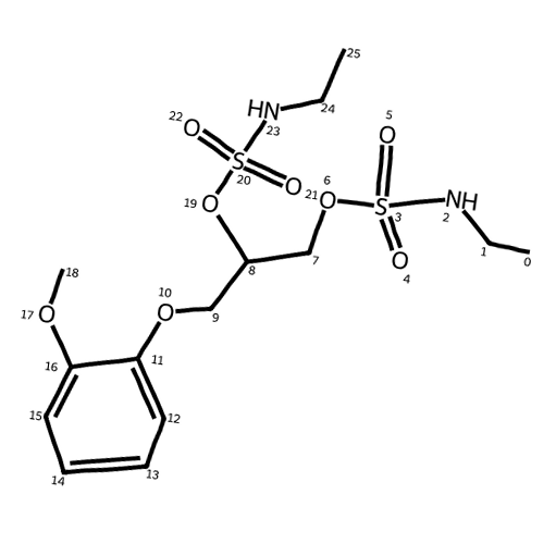 CCNS(=O)(=O)OCC(COc1ccccc1OC)OS(=O)(=O)NCC